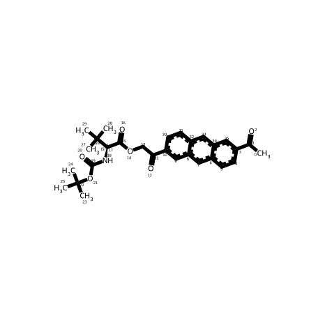 CC(=O)c1ccc2cc3cc(C(=O)COC(=O)[C@@H](NC(=O)OC(C)(C)C)C(C)(C)C)ccc3cc2c1